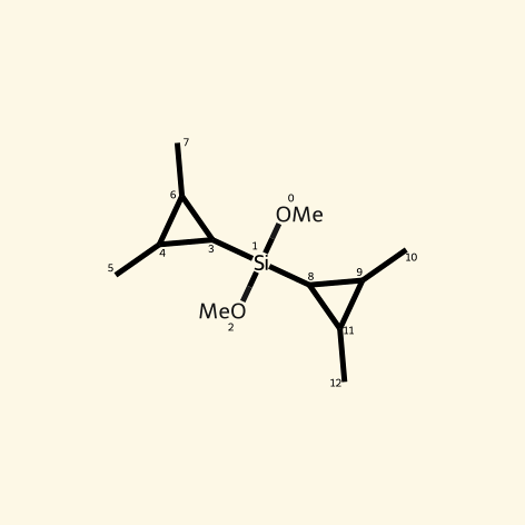 CO[Si](OC)(C1C(C)C1C)C1C(C)C1C